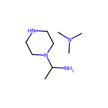 CC(N)N1CCNCC1.CN(C)C